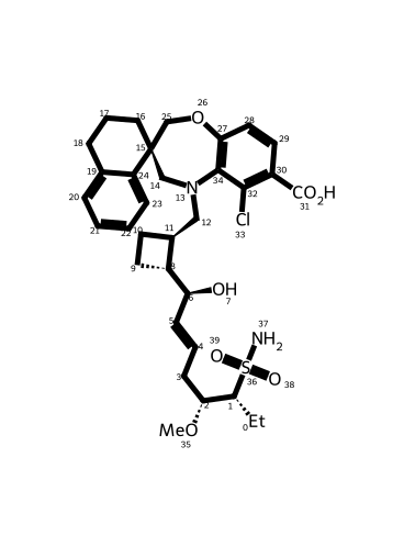 CC[C@H]([C@@H](C/C=C/[C@H](O)[C@@H]1CC[C@H]1CN1C[C@@]2(CCCc3ccccc32)COc2ccc(C(=O)O)c(Cl)c21)OC)S(N)(=O)=O